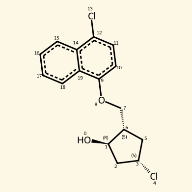 O[C@@H]1C[C@@H](Cl)C[C@H]1COc1ccc(Cl)c2ccccc12